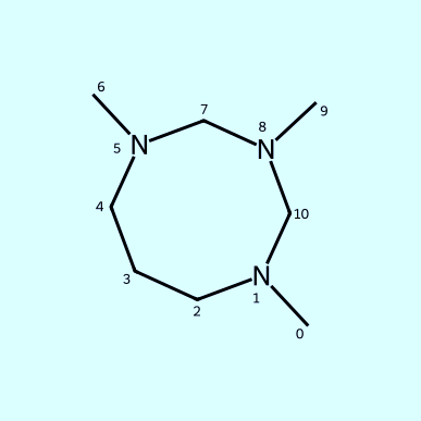 CN1CCCN(C)CN(C)C1